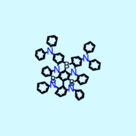 c1ccc(N2B3c4ccccc4N4c5cc(N(c6ccccc6)c6ccccc6)ccc5B5c6ccc(N(c7ccccc7)c7ccccc7)cc6N6c7ccccc7B7c8c(c3c4c5c86)-c3c2cccc3N7c2ccccc2)cc1